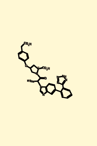 CCCCCCC(C(=O)N1CC(Oc2ccc(CC(=O)O)cc2)C[C@H]1C(=O)O)n1cnc2cc(-c3ccccc3-c3nn[nH]n3)ccc21